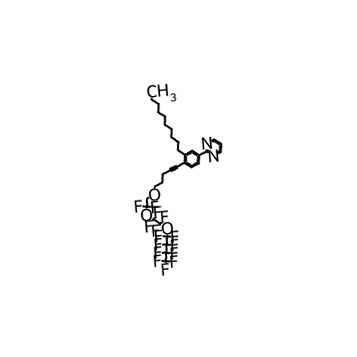 CCCCCCCCCCc1cc(-c2ncccn2)ccc1C#CCCCOCC(F)(F)OC(F)(F)C(F)(F)OC(F)(F)C(F)(F)C(F)(F)C(F)(F)F